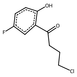 O=C(CCCCl)c1cc(F)ccc1O